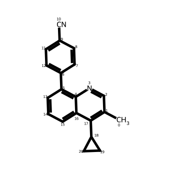 Cc1cnc2c(-c3ccc(C#N)cc3)cccc2c1C1CC1